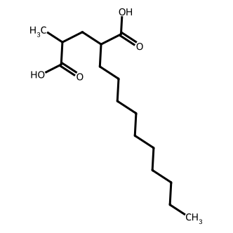 CCCCCCCCCCC(CC(C)C(=O)O)C(=O)O